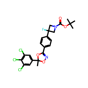 CC(C)(C)OC(=O)N1CC(F)(c2ccc(C3=NOC(C)(c4cc(Cl)c(Cl)c(Cl)c4)O3)cc2)C1